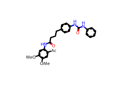 COc1cc(NC(=O)CCCc2ccc(NC(=O)Nc3ccccc3)cc2)c(C(C)=O)cc1OC